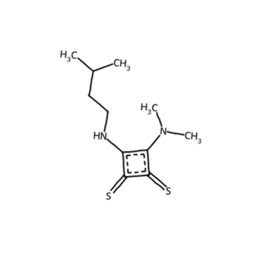 CC(C)CCNc1c(N(C)C)c(=S)c1=S